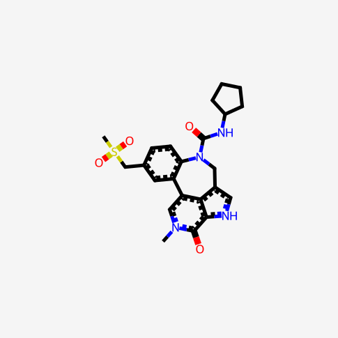 Cn1cc2c3c(c[nH]c3c1=O)CN(C(=O)NC1CCCC1)c1ccc(CS(C)(=O)=O)cc1-2